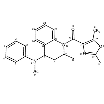 CC(=O)N(c1ccccc1)C1CC(C)N(C(=O)c2nc(C)oc2C(F)(F)F)c2ccccc21